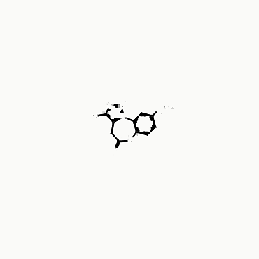 COc1ccc2c(c1)-n1nnc(N)c1CC(=O)N2